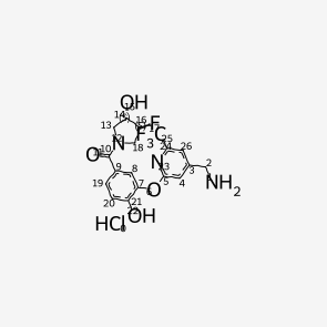 Cl.NCc1cc(Oc2cc(C(=O)N3C[C@H](O)[C@@H](F)C3)ccc2O)nc(C(F)(F)F)c1